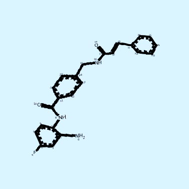 Nc1cc(F)ccc1NC(=O)c1ccc(CNC(=O)/C=C/c2ccccc2)cc1